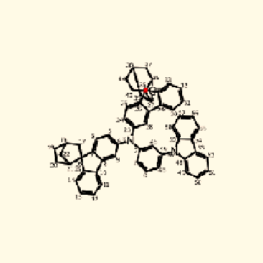 c1cc(N(c2ccc3c(c2)-c2ccccc2C32CC3CCC2C3)c2ccc3c(c2)-c2ccccc2C32C3CC4CC(C3)CC2C4)cc(-n2c3ccccc3c3ccccc32)c1